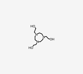 OCCN1CCN(CCO)CCN(CCO)CC1